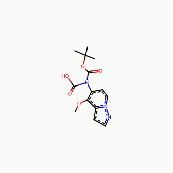 COc1c(N(C(=O)O)C(=O)OC(C)(C)C)ccn2nccc12